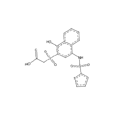 O=C(O)CS(=O)(=O)c1cc(NS(=O)(=O)c2cccs2)c2ccccc2c1O